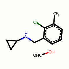 FC(F)(F)c1cccc(CNC2CC2)c1Cl.O=CO